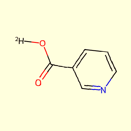 [2H]OC(=O)c1cccnc1